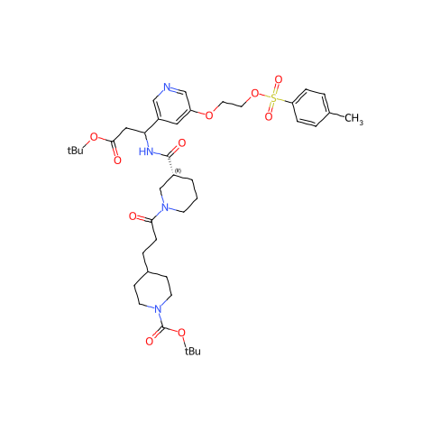 Cc1ccc(S(=O)(=O)OCCOc2cncc(C(CC(=O)OC(C)(C)C)NC(=O)[C@@H]3CCCN(C(=O)CCC4CCN(C(=O)OC(C)(C)C)CC4)C3)c2)cc1